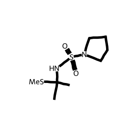 CSC(C)(C)NS(=O)(=O)N1CCCC1